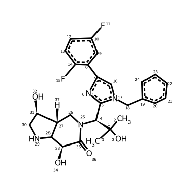 CC(C)(O)[C@H](c1nc(-c2cc(F)ccc2F)cn1Cc1ccccc1)N1C[C@@H]2C(NC[C@H]2O)[C@H](O)C1=O